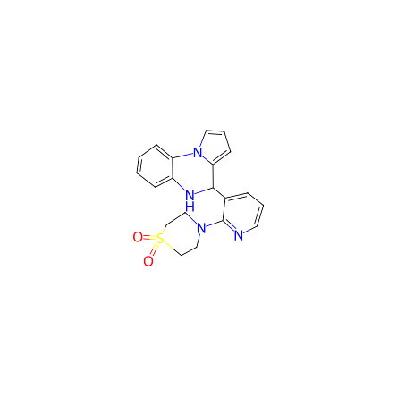 O=S1(=O)CCN(c2ncccc2C2Nc3ccccc3-n3cccc32)CC1